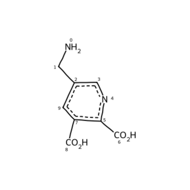 NCc1cnc(C(=O)O)c(C(=O)O)c1